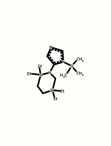 CC[Si]1(CC)CC[Si](CC)(CC)N(c2cncn2[Si](C)(C)C)C1